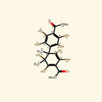 COC(=O)C1=C(S)C(C)(S)C(C)(c2c(S)c(S)c(C(=O)OC)c(S)c2S)C(S)=C1S